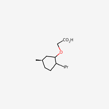 CC(C)C1CC[C@@H](C)CC1OCC(=O)O